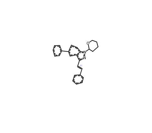 C(=C\c1nn(C2CCCCO2)c2ccc(-c3ccccc3)cc12)/c1ccccc1